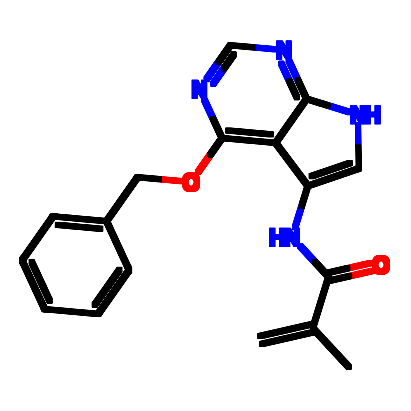 C=C(C)C(=O)Nc1c[nH]c2ncnc(OCc3ccccc3)c12